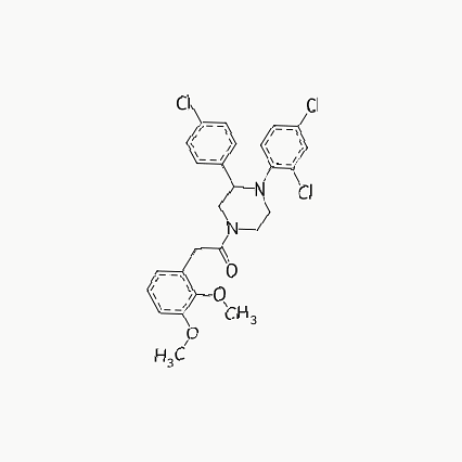 COc1cccc(CC(=O)N2CCN(c3ccc(Cl)cc3Cl)C(c3ccc(Cl)cc3)C2)c1OC